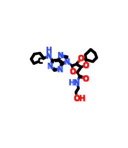 O=C(NCCO)[C@H]1O[C@@H](n2cnc3c(NC4CCCCC4)ncnc32)C2OC3(CCCCC3)OC21